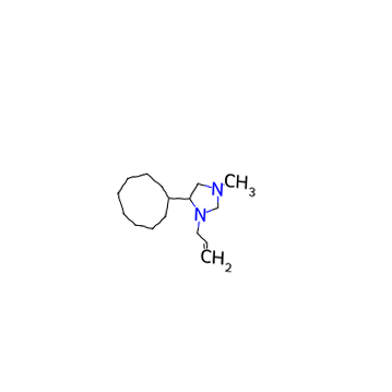 C=CCN1CN(C)CC1C1CCCCCCCC1